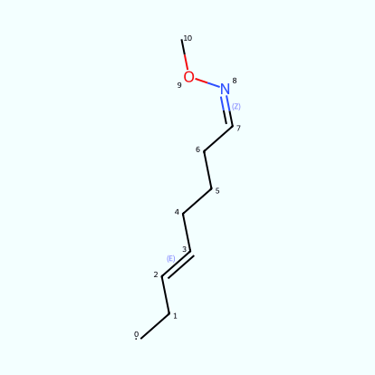 [CH2]C/C=C/CCC/C=N\OC